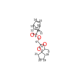 CCC1(OC(=O)COC(=O)C2(C)CC3C=CC2C3)CCCC1